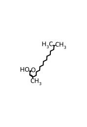 CC(=CC(=O)O)CCCCCCCCCCCC(C)C